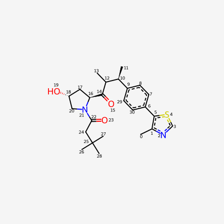 Cc1ncsc1-c1ccc([C@H](C)C(C)C(=O)[C@@H]2C[C@@H](O)CN2C(=O)CC(C)(C)C)cc1